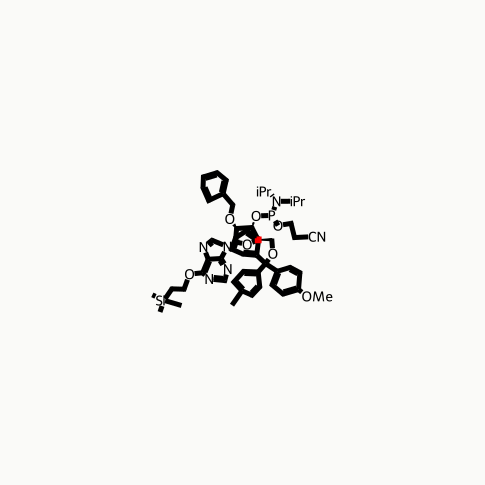 COc1ccc(C(OC[C@H]2O[C@@H](n3cnc4c(OCC[Si](C)(C)C)ncnc43)[C@@H](OCc3ccccc3)[C@@H]2OP(OCCC#N)N(C(C)C)C(C)C)(c2ccccc2)c2ccc(C)cc2)cc1